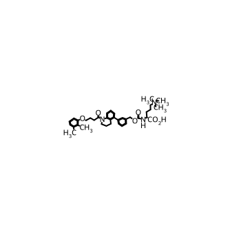 Cc1cccc(OCCCC(=O)N2CCCc3c(-c4cccc(COC(=O)NC(CCC[N+](C)(C)C)C(=O)O)c4)cccc32)c1C